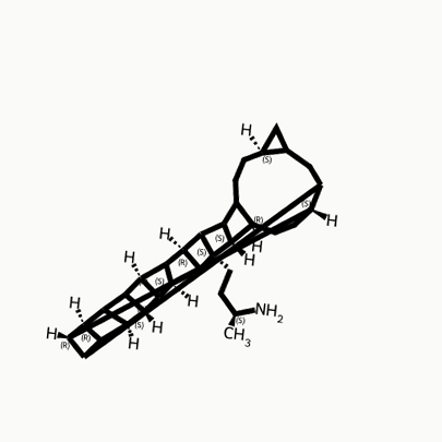 C[C@H](N)CC[C@@]12C3C4C5CC[C@H]6CC6CC6C7C8[C@H]9C(C%10[C@H]%11C%12[C@H](C%11[C@@H]%109)C1[C@@H]%123)[C@@H]8[C@@H]7[C@H]6CC[C@H]5[C@@H]42